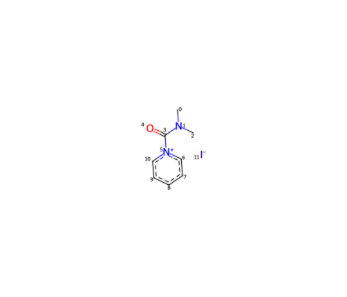 CN(C)C(=O)[n+]1ccccc1.[I-]